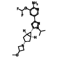 COC1CN([C@@H]2C[C@@H]3[C@H](C2)[C@H]3c2cc(-c3cnc(N)c(OC(F)F)c3)nn2C(C)C)C1